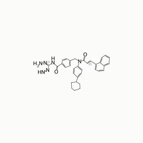 N=N/C(=N\N)NC(=O)c1ccc(CN(C(=O)/C=C/c2cccc3ccccc23)c2ccc(C3CCCCC3)cc2)cc1